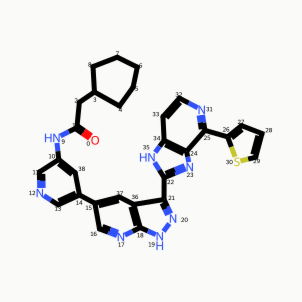 O=C(CC1CCCCC1)Nc1cncc(-c2cnc3[nH]nc(-c4nc5c(-c6cccs6)nccc5[nH]4)c3c2)c1